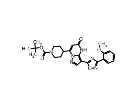 COc1ccccc1-c1noc(-c2cnn3c(C4CCN(C(=O)OC(C)(C)C)CC4)cc(=O)[nH]c23)n1